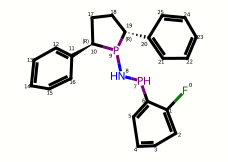 Fc1ccccc1PNP1[C@@H](c2ccccc2)CC[C@@H]1c1ccccc1